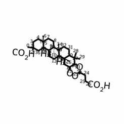 CC1(C(=O)O)CC[C@]2(C)CC[C@]3(C)C(=CC[C@@H]4[C@@]5(C)CC(=O)[C@H](OC(=O)CCC(=O)O)C(C)(C)C5CC[C@]43C)[C@H]2C1